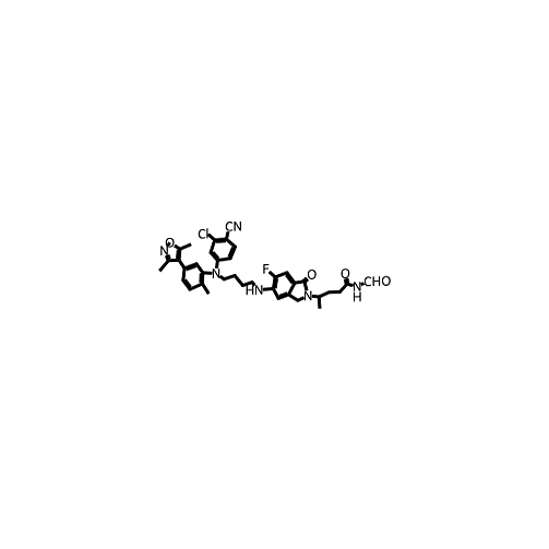 Cc1ccc(-c2c(C)noc2C)cc1N(CCCCNc1cc2c(cc1F)C(=O)N(C(C)CCC(=O)NC=O)C2)c1ccc(C#N)c(Cl)c1